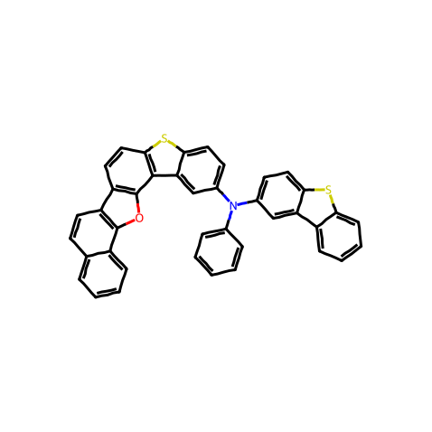 c1ccc(N(c2ccc3sc4ccccc4c3c2)c2ccc3sc4ccc5c6ccc7ccccc7c6oc5c4c3c2)cc1